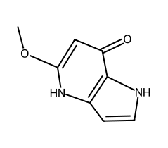 COc1cc(=O)c2[nH]ccc2[nH]1